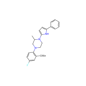 COc1cc(F)ccc1N1CCN(c2ccc(-c3ccccc3)[nH]2)C(C)C1